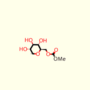 COC(=O)OC[C@H]1O[CH][C@H](O)[C@@H](O)[C@@H]1O